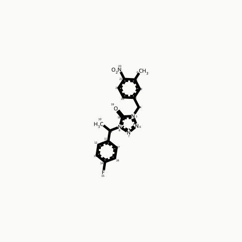 Cc1cc(Cn2nnn(C(C)c3ccc(F)cc3)c2=O)ccc1[N+](=O)[O-]